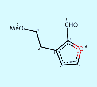 COCCc1ccoc1C=O